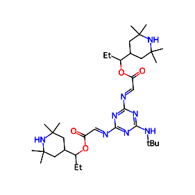 CCC(OC(=O)C=Nc1nc(N=CC(=O)OC(CC)C2CC(C)(C)NC(C)(C)C2)nc(NC(C)(C)C)n1)C1CC(C)(C)NC(C)(C)C1